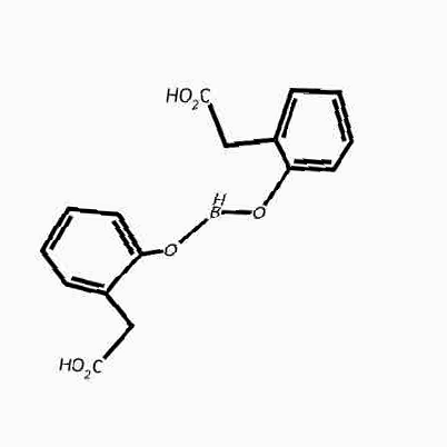 O=C(O)Cc1ccccc1OBOc1ccccc1CC(=O)O